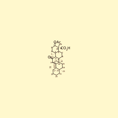 CC(=O)OC1CC[C@@]2(C)C(CC[C@]3(C)C2C(=O)C=C2C4[C@@H](C)CCC[C@]4(C)CCC23C)[C@@]1(C)C(=O)O